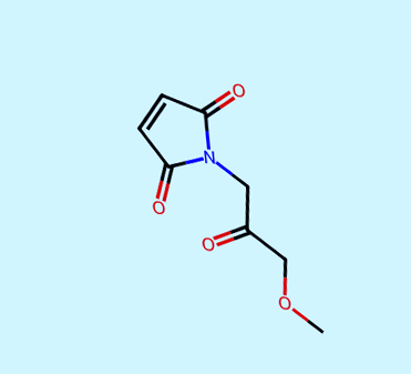 COCC(=O)CN1C(=O)C=CC1=O